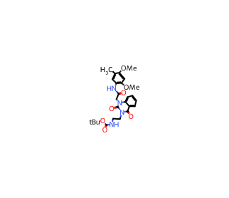 COc1cc(OC)c(NC(=O)Cn2c(=O)n(CCNC(=O)OC(C)(C)C)c(=O)c3ccccc32)cc1C